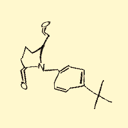 CC(C)(C)c1ccc(N2C(=O)CCC2C=O)cc1